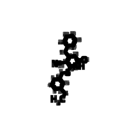 CCc1cccc(CSc2[nH]c(=O)cc(Cc3ccccc3)c2C#N)c1